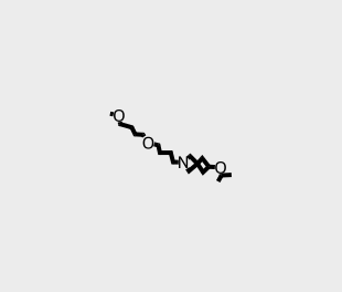 COCCCCOCCCCN1CC2(CC(OC(C)C)C2)C1